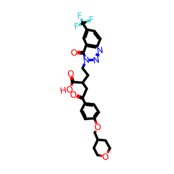 O=C(CC(CCn1nnc2ccc(C(F)(F)F)cc2c1=O)C(=O)O)c1ccc(OCC2CCOCC2)cc1